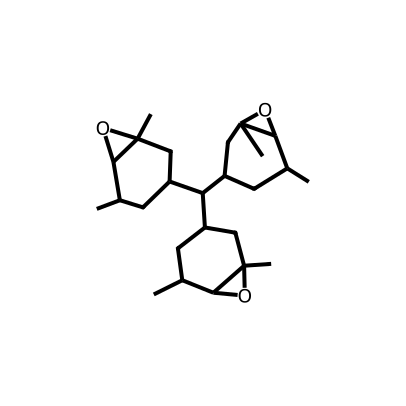 CC1CC(C(C2CC(C)C3OC3(C)C2)C2CC(C)C3OC3(C)C2)CC2(C)OC12